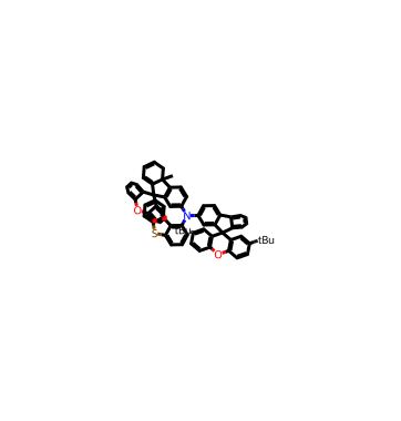 CC(C)(C)c1ccc2c(c1)C1(c3cc(C(C)(C)C)ccc3O2)c2ccccc2-c2ccc(N(c3ccc4c(c3)C3(C5=CC=CCC54C)c4ccccc4Oc4ccccc43)c3cccc4sc5ccccc5c34)cc21